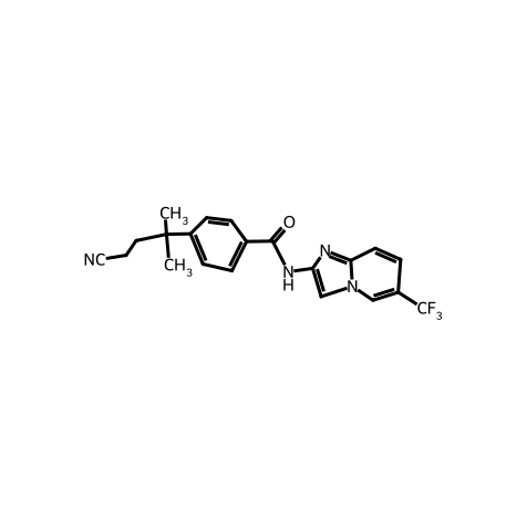 CC(C)(CCC#N)c1ccc(C(=O)Nc2cn3cc(C(F)(F)F)ccc3n2)cc1